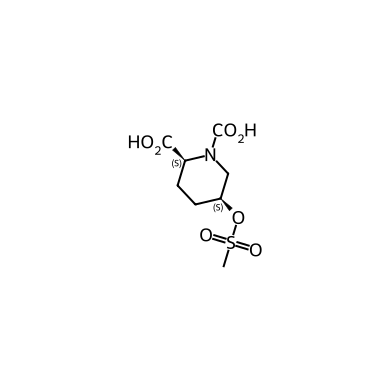 CS(=O)(=O)O[C@H]1CC[C@@H](C(=O)O)N(C(=O)O)C1